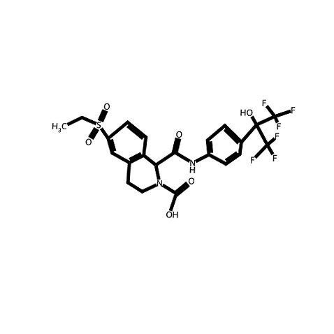 CCS(=O)(=O)c1ccc2c(c1)CCN(C(=O)O)C2C(=O)Nc1ccc(C(O)(C(F)(F)F)C(F)(F)F)cc1